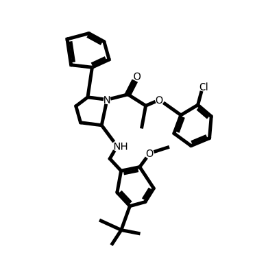 COc1ccc(C(C)(C)C)cc1CNC1CCC(c2ccccc2)N1C(=O)C(C)Oc1ccccc1Cl